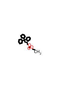 C=CCOC(=O)OCCCC(c1ccccc1)(c1ccccc1)c1ccccc1